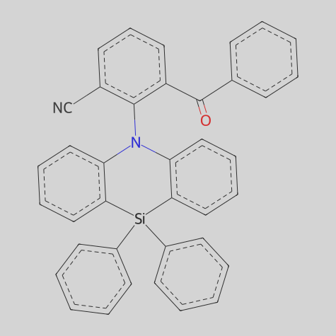 N#Cc1cccc(C(=O)c2ccccc2)c1N1c2ccccc2[Si](c2ccccc2)(c2ccccc2)c2ccccc21